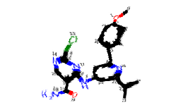 COc1ccc(-c2cc(Nc3nc(Cl)ncc3C(N)=O)cc(C(C)C)n2)cc1